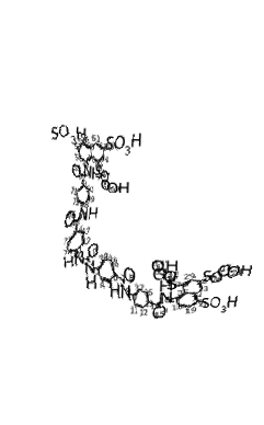 O=C(Nc1ccc(C(=O)Nc2ccc(C(=O)Nc3ccc(S(=O)(=O)O)c4cc(SOOO)cc(SOOO)c34)cc2)cc1)Nc1ccc(C(=O)Nc2ccc(C(=O)Nc3ccc(S(=O)(=O)O)c4cc(S(=O)(=O)O)cc(SOOO)c34)cc2)cc1